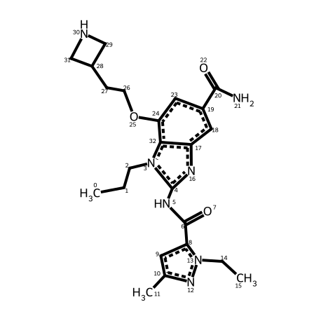 CCCn1c(NC(=O)c2cc(C)nn2CC)nc2cc(C(N)=O)cc(OCCC3CNC3)c21